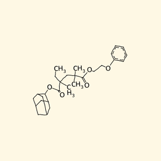 CCC(C)(CC(C)(C)C(=O)OCCOc1ccccc1)C(=O)OC1C2CC3CC(C2)CC1C3